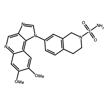 COc1cc2ncc3ncn(-c4ccc5c(c4)CN(S(N)(=O)=O)CC5)c3c2cc1OC